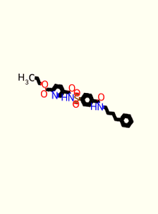 CCCOC(=O)c1ccc(C(=O)NS(=O)(=O)c2ccc(C(=O)NCCCCc3ccccc3)cc2)cn1